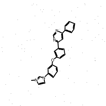 C[n+]1ccn(-c2cccc(Oc3cccc(-c4cc(-c5ccccc5)ncn4)c3)c2)c1